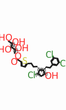 O=C(OC[C@H](O)[C@H](O)[C@H](O)CO)c1ccc(CCC[C@@H]2[C@@H](CCc3cc(Cl)cc(Cl)c3)[C@H](O)C[C@H]2Cl)s1